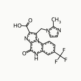 Cc1nccn1Cc1c(C(=O)O)nc2c(=O)[nH]c3cc(C(F)(F)F)ccc3n12